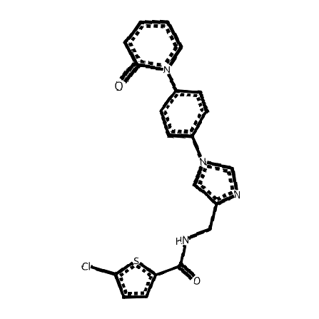 O=C(NCc1cn(-c2ccc(-n3ccccc3=O)cc2)cn1)c1ccc(Cl)s1